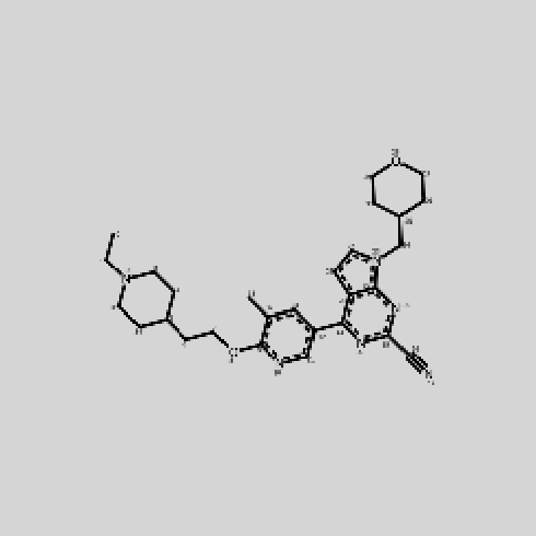 CCN1CCC(CCOc2ncc(-c3nc(C#N)nc4c3ccn4CC3CCOCC3)cc2C)CC1